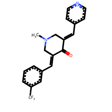 CN1C/C(=C\c2ccncc2)C(=O)/C(=C/c2cccc(C(F)(F)F)c2)C1